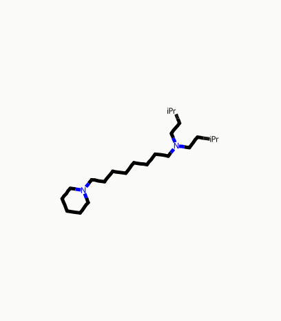 CC(C)CCN(CCCCCCCCN1CCCCC1)CCC(C)C